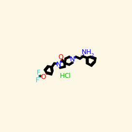 Cl.N[C@@H](CCN1CCC2(CC1)CCN(Cc1ccc(OC(F)F)cc1)C2=O)c1ccccc1